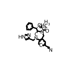 C[C@@H](c1ccccc1)C1CN(Cc2c[nH]cn2)c2ccc(C#N)cc2CN1S(C)(=O)=O